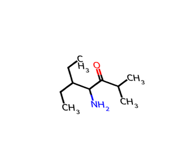 CCC(CC)C(N)C(=O)C(C)C